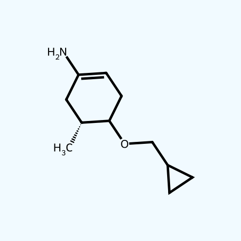 C[C@@H]1CC(N)=CCC1OCC1CC1